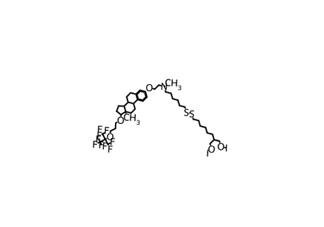 CN(CCCCCCSSCCCCCCC(COI)COI)CCOc1ccc2c(c1)CCC1C2CCC2(C)C(OCCCOC(C(F)(F)F)(C(F)(F)F)C(F)(F)F)CCC12